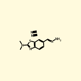 C#N.C#N.CN(C)c1nc2ccc(C=NN)cc2s1